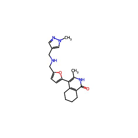 Cc1[nH]c(=O)c2c(c1-c1ccc(CNCc3cnn(C)c3)o1)CCCC2